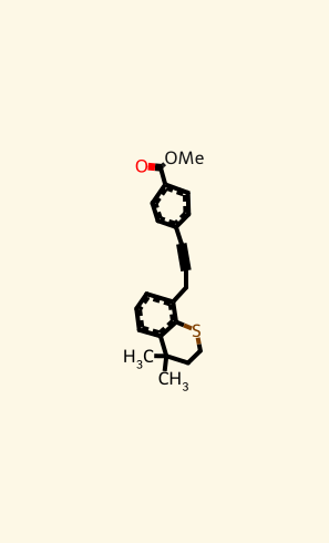 COC(=O)c1ccc(C#CCc2cccc3c2SCCC3(C)C)cc1